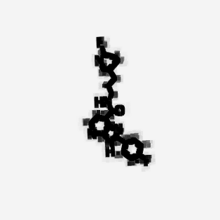 O=C(NCCCc1ccc(F)nc1)c1ccnc2[nH]c(-c3ccc(F)cc3)nc12